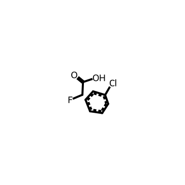 Clc1ccccc1.O=C(O)CF